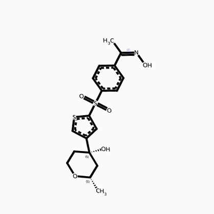 C/C(=N/O)c1ccc(S(=O)(=O)c2cc([C@]3(O)CCO[C@@H](C)C3)cs2)cc1